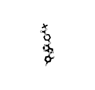 CC(C)(C)OC(=O)N1CCC(Oc2ncnc3c2cnn3-c2ccc(F)cc2F)CC1